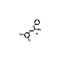 CCCCC(C=Nc1cc(CC)cc(CC)c1)=Nc1ccccc1.[Ni]